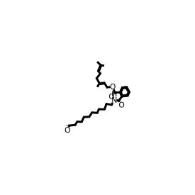 CC(C)=CCC/C(C)=C/COC(=O)c1ccccc1C(=O)NCCCCCCCCCCC[C]=O